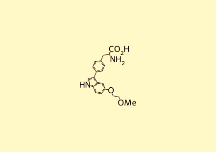 COCCOc1ccc2[nH]cc(-c3ccc(C[C@H](N)C(=O)O)cc3)c2c1